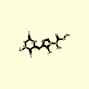 CCCN(C(=O)OC(C)(C)C)n1cnc(/C=C2\NC(=O)CN(C(C)=O)C2=O)c1C(C)C